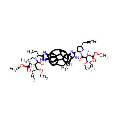 C#CC[C@@H]1C[C@@H](c2nc3cc(-c4cc5ccc4C[C@@H](C)c4ccc(c(-c6ccc7[nH]c([C@H](CC)N(CC)C(=O)[C@@H](NC(=O)OC)[C@@H](C)OC)nc7c6)c4)CC5)ccc3[nH]2)N(C(=O)[C@@H](NC(=O)OC)[C@@H](C)OC)C1